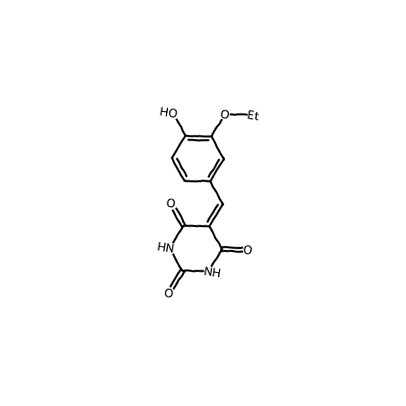 CCOc1cc(C=C2C(=O)NC(=O)NC2=O)ccc1O